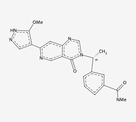 CNC(=O)c1cccc([C@@H](C)n2cnc3cc(-c4cn[nH]c4OC)ncc3c2=O)c1